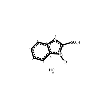 CC[n+]1c(S(=O)(=O)O)sc2ccccc21.[OH-]